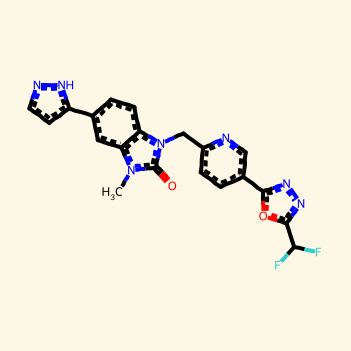 Cn1c(=O)n(Cc2ccc(-c3nnc(C(F)F)o3)cn2)c2ccc(-c3ccn[nH]3)cc21